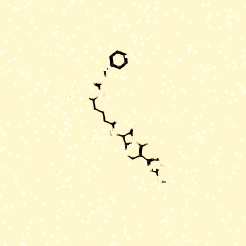 CN(C)c1nnc(C2=C(C(=O)O)N3C(=O)C(NC(=O)CCCC(NC(=O)OCc4ccccc4)C(=O)O)[C@@H]3SC2)s1